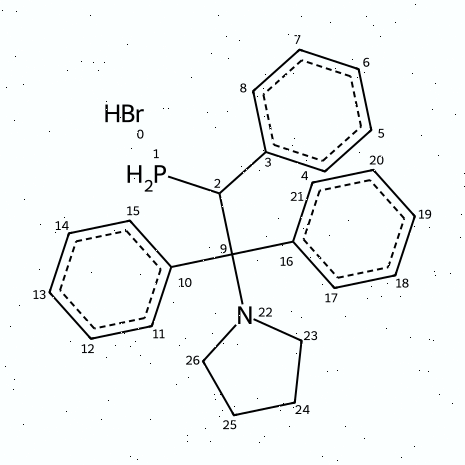 Br.PC(c1ccccc1)C(c1ccccc1)(c1ccccc1)N1CCCC1